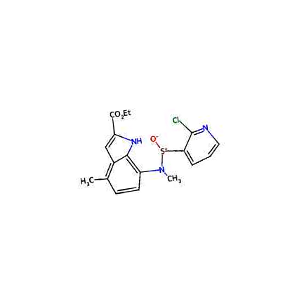 CCOC(=O)c1cc2c(C)ccc(N(C)[S+]([O-])c3cccnc3Cl)c2[nH]1